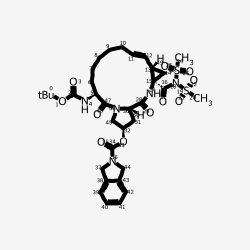 CC(C)(C)OC(=O)N[C@H]1CCCCC/C=C/[C@@H]2C[C@@]2(C(=O)N(S(C)(=O)=O)S(C)(=O)=O)NC(=O)[C@@H]2C[C@@H](OC(=O)N3Cc4ccccc4C3)CN2C1=O